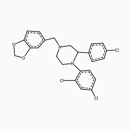 Clc1ccc(C2CN(Cc3ccc4c(c3)OCO4)CCN2c2ccc(Cl)cc2Cl)cc1